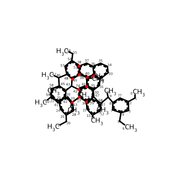 CCc1cc(CC)cc(C(C)c2cc(C)cc(C(C)c3cc(CC)cc(CC)c3)c2-c2cc3cccc4ccc5c(c2=CC(c2c(C(C)c6cc(CC)cc(CC)c6)cc(C)cc2C(C)c2cc(CC)cc(CC)c2)C5)c43)c1